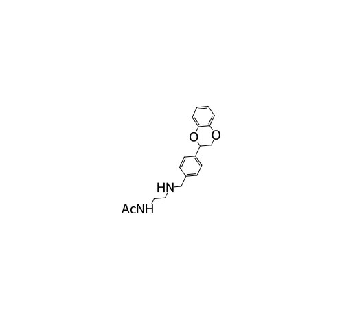 CC(=O)NCCNCc1ccc(C2COc3ccccc3O2)cc1